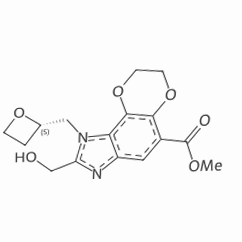 COC(=O)c1cc2nc(CO)n(C[C@@H]3CCO3)c2c2c1OCCO2